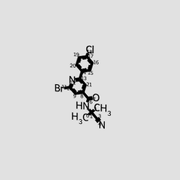 CC(C)(C#N)NC(=O)c1cc(Br)nc(-c2ccc(Cl)cc2)c1